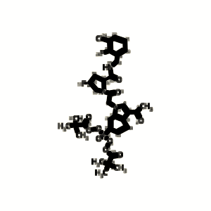 CC(=O)c1cn(CC(=O)N2C[C@H](F)C[C@H]2C(=O)NCc2cccc(Cl)c2F)c2cc(P(=O)(OOC(=O)C(C)(C)C)OOC(=O)C(C)(C)C)ccc12